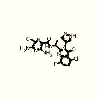 CC(NC(=O)c1nc(Cl)c(N)nc1N)c1nc2c(F)ccc(Cl)c2c(=O)n1-c1cn[nH]c1